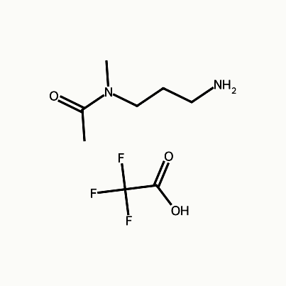 CC(=O)N(C)CCCN.O=C(O)C(F)(F)F